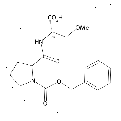 COC[C@H](NC(=O)C1CCCN1C(=O)OCc1ccccc1)C(=O)O